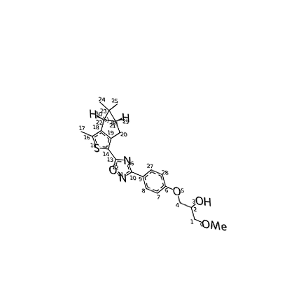 COCC(O)COc1ccc(-c2noc(-c3sc(C)c4c3C[C@@H]3[C@H]4C3(C)C)n2)cc1